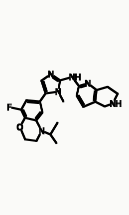 CC(C)N1CCOc2c(F)cc(-c3cnc(Nc4ccc5c(n4)CCNC5)n3C)cc21